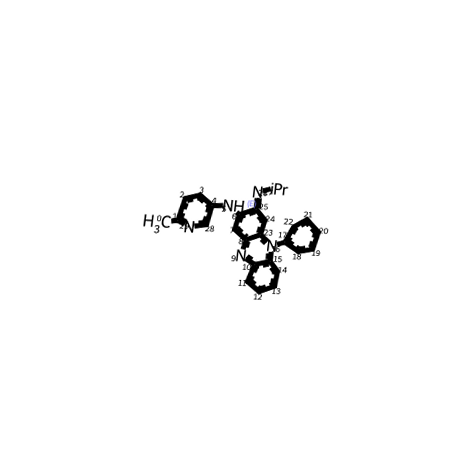 Cc1ccc(Nc2cc3nc4ccccc4n(-c4ccccc4)c-3c/c2=N\C(C)C)cn1